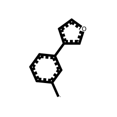 [CH2]c1cccc(-c2ccoc2)c1